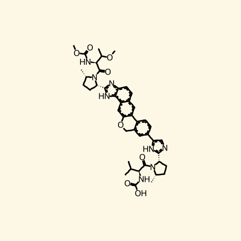 COC(=O)N[C@H](C(=O)N1[C@@H](C)CC[C@H]1c1nc2ccc3cc4c(cc3c2[nH]1)OCc1cc(-c2cnc([C@@H]3CC[C@H](C)N3C(=O)[C@@H](NC(=O)O)C(C)C)[nH]2)ccc1-4)C(C)OC